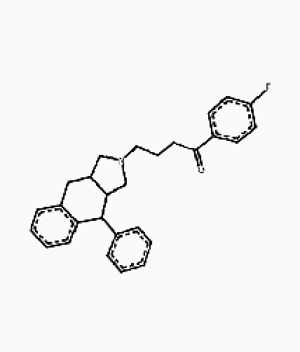 O=C(CCCN1CC2Cc3ccccc3C(c3ccccc3)C2C1)c1ccc(F)cc1